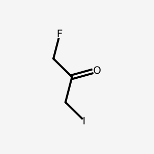 O=C(CF)CI